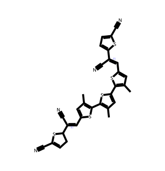 Cc1cc(/C=C(\C#N)c2ccc(C#N)s2)sc1-c1cc(C)c(-c2sc(/C=C(\C#N)C3CC=C(C#N)S3)cc2C)s1